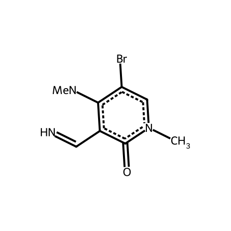 CNc1c(Br)cn(C)c(=O)c1C=N